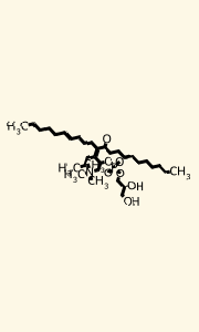 CCCCCCCCCCC(=O)C(CCCCCCCCCC)=C(CCC)C(C[N+](C)(C)C)OP(=O)([O-])OC[C@H](O)CO